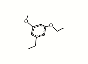 CCOc1cc(CC)cc(OC)c1